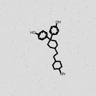 CCCC1CCC(CCC2CCC(c3ccc(O)cc3)(c3ccc(O)cc3)CC2)CC1